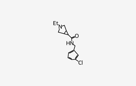 CCN1CC2C(C1)C2C(=O)NCc1cccc(Cl)c1